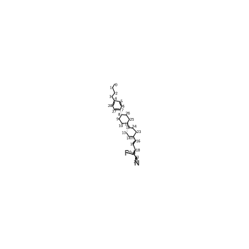 CCCCc1ccc([C@H]2CC[C@H]([C@H]3CC[C@H](C=CC=C(F)C#N)CC3)CC2)cc1